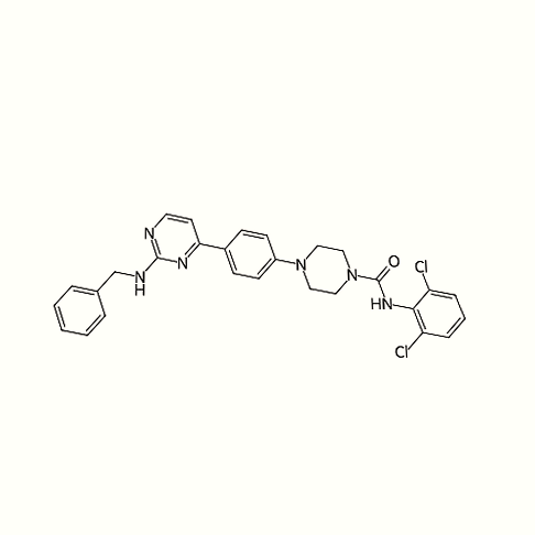 O=C(Nc1c(Cl)cccc1Cl)N1CCN(c2ccc(-c3ccnc(NCc4ccccc4)n3)cc2)CC1